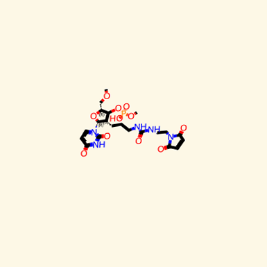 COC[C@H]1O[C@@H](n2ccc(=O)[nH]c2=O)[C@@H](CCCNC(=O)NCCN2C(=O)C=CC2=O)C1OP(=O)(O)OC